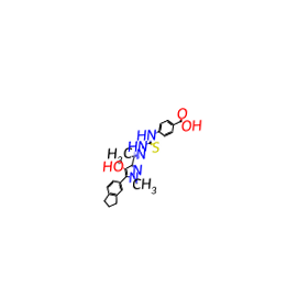 C/C(=N\NC(=S)Nc1ccc(C(=O)O)cc1)c1nn(C)c(-c2ccc3c(c2)CCC3)c1O